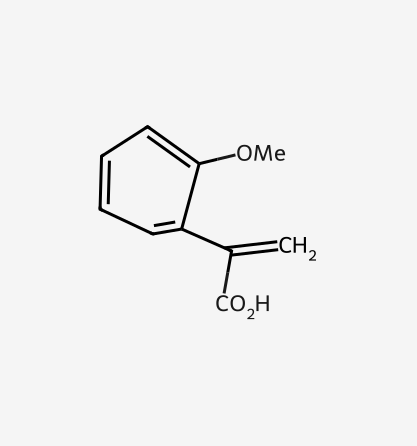 C=C(C(=O)O)c1ccccc1OC